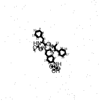 COC(=O)NC(Cc1ccccc1)C(=O)NC(Cc1ccc(NS(=O)(=O)O)cc1)c1nc(C)c(-c2ccccc2)s1